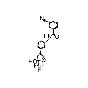 N#Cc1cccc(C(=O)NCc2cccc(C3=NOC(O)(C(F)(F)F)C3)c2)c1